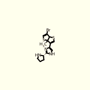 CC12SC=C(Br)C1SC=C2c1c[nH]c([C@@H]2CCCN2)n1